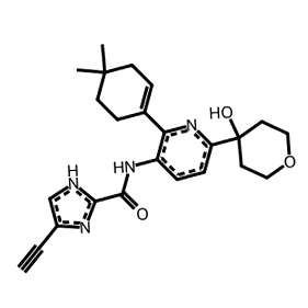 C#Cc1c[nH]c(C(=O)Nc2ccc(C3(O)CCOCC3)nc2C2=CCC(C)(C)CC2)n1